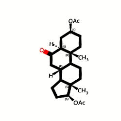 CC(=O)O[C@H]1CC[C@]2(C)C3CC[C@@]4(C)C(CC[C@@H]4OC(C)=O)[C@@H]3CC(=O)[C@H]2C1